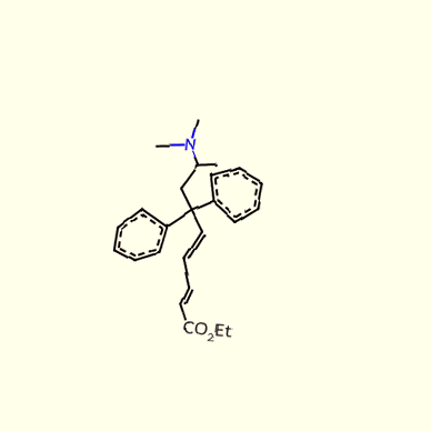 CCOC(=O)C=CC=CC(CC(C)N(C)C)(c1ccccc1)c1ccccc1